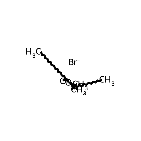 CCCCCCCCCCCCCCCCC(=O)COCC[N+](C)(C)CCCCCCCCCCCC.[Br-]